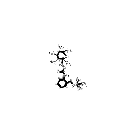 CC(=O)O[C@H]1[C@H](OC(C)=O)[C@@H](C)O[C@@](C)(OOC(=O)Nc2ccccc2CO[Si](C)(C)C(C)(C)C)[C@@H]1OC(C)=O